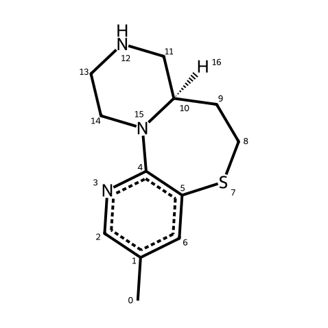 Cc1cnc2c(c1)SCC[C@@H]1CNCCN21